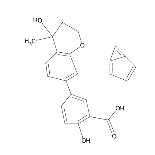 CC1(O)CCOc2cc(-c3ccc(O)c(C(=O)O)c3)ccc21.c1cc2cc-2c1